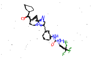 O=C(NCC(F)(F)F)Nc1cccc(-c2cnc3cc(C(=O)C4CCCC4)ccn23)c1